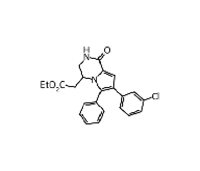 CCOC(=O)CC1CNC(=O)c2cc(-c3cccc(Cl)c3)c(-c3ccccc3)n21